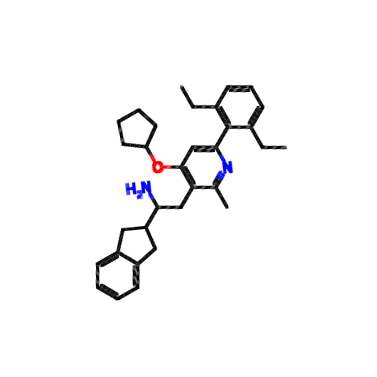 CCc1cccc(CC)c1-c1cc(OC2CCCC2)c(CC(N)C2Cc3ccccc3C2)c(C)n1